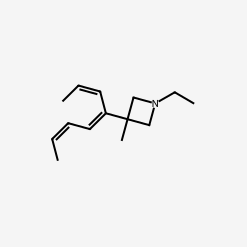 C\C=C/C=C(\C=C/C)C1(C)CN(CC)C1